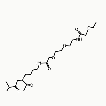 CCOCC(=O)NCCOCCOCC(=O)NCCCC[C@H](CC(=O)C(C)C)C(C)=O